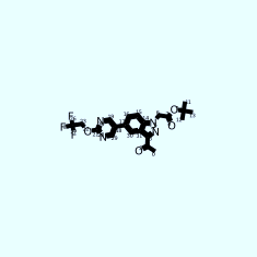 CC(=O)c1nn(CC(=O)OC(C)(C)C)c2ccc(-c3cnc(OCC(F)(F)F)nc3)cc12